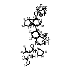 COC(=O)N[C@H](C(=O)N1CCC[C@H]1C1=Nc2ccc(-c3cnc(OS(=O)(=O)C(F)(F)F)c4c3C3CCC4C3)cc2S(=O)(=O)N1)C(C)C